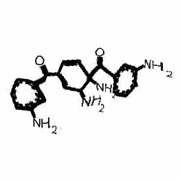 Nc1cccc(C(=O)C2=CC(N)C(N)(C(=O)c3cccc(N)c3)C=C2)c1